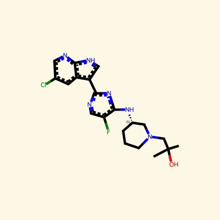 CC(C)(O)CN1CCC[C@H](Nc2nc(-c3c[nH]c4ncc(Cl)cc34)ncc2F)C1